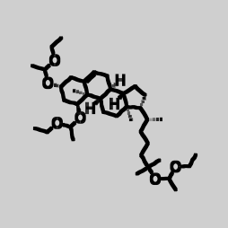 CCOC(C)O[C@@H]1CC2=CC[C@H]3[C@@H]4CC[C@H]([C@H](C)CCCC(C)(C)OC(C)OCC)[C@@]4(C)CC[C@@H]3[C@@]2(C)[C@@H](OC(C)OCC)C1